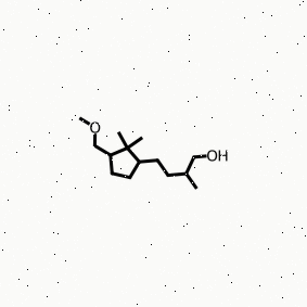 COCC1CCC(CCC(C)CO)C1(C)C